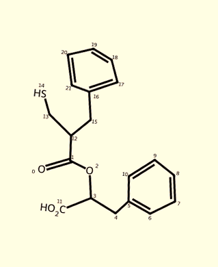 O=C(OC(Cc1ccccc1)C(=O)O)C(CS)Cc1ccccc1